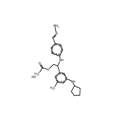 CC(=O)OCC(Nc1ccc(C=NN)cc1)c1cc(C)cc(NC2CCCC2)c1.Cl